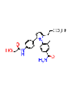 CCOC(=O)CCc1ccc(-c2ccc(NC(=O)CO)cc2)n1-c1ccc(C(N)=O)cc1C